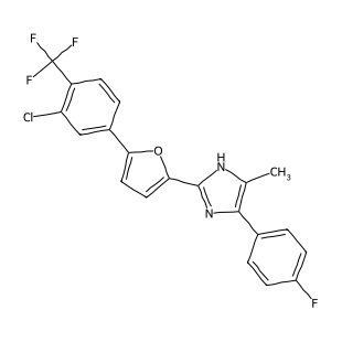 Cc1[nH]c(-c2ccc(-c3ccc(C(F)(F)F)c(Cl)c3)o2)nc1-c1ccc(F)cc1